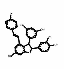 Oc1ccc(/C=C/c2cc(O)cc3c2C(c2cc(O)cc(O)c2)C(c2ccc(O)c(O)c2)O3)cc1